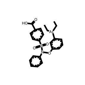 CC[As](CC)c1cccc(ON(c2ccccc2)S(=O)(=O)c2ccc(C(=O)O)cc2)c1